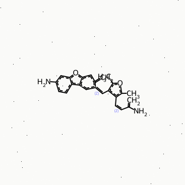 C=C(N)/C=C\c1c(C)oc(C)c1/C=c1/cc2c(cc1=C)oc1cc(N)ccc12